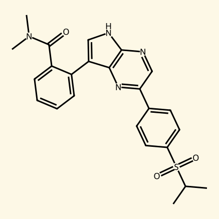 CC(C)S(=O)(=O)c1ccc(-c2cnc3[nH]cc(-c4ccccc4C(=O)N(C)C)c3n2)cc1